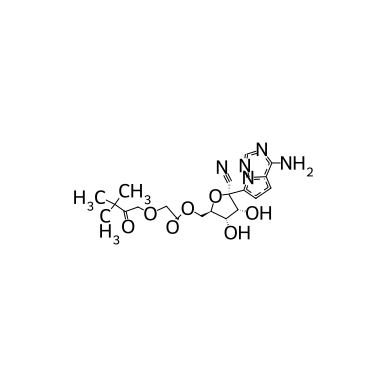 CC(C)(C)C(=O)COCC(=O)OC[C@H]1O[C@@](C#N)(c2ccc3c(N)ncnn23)[C@H](O)[C@@H]1O